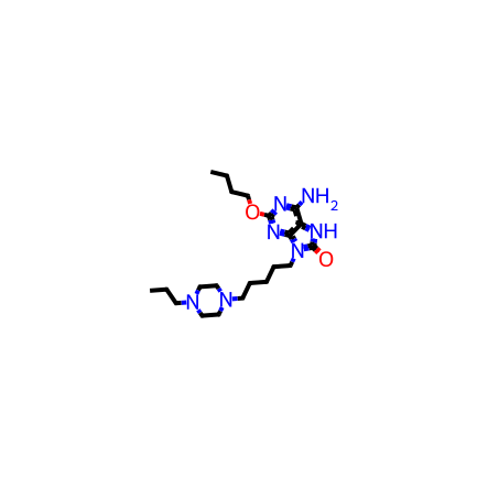 CCCCOc1nc(N)c2[nH]c(=O)n(CCCCCN3CCN(CCC)CC3)c2n1